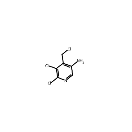 Nc1cnc(Cl)c(Cl)c1CCl